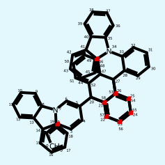 C\C=C/C=C\C(=C/n1c2ccccc2c2ccccc21)C12c3ccccc3C(c3ccccc3-n3c4ccccc4c4ccccc43)(c3ccccc31)c1ccccc12